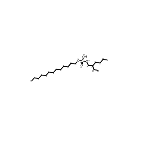 CCCCCCCCCCCCCOP(=O)(O)OCC(CC)CCCC